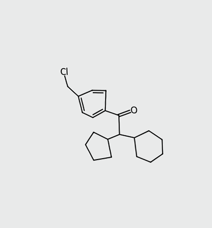 O=C(c1ccc(CCl)cc1)C(C1CCCCC1)C1CCCC1